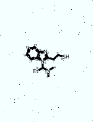 CCC(N(C)C)n1c(CCS)nc2ccccc21